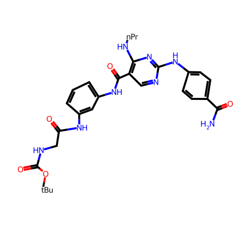 CCCNc1nc(Nc2ccc(C(N)=O)cc2)ncc1C(=O)Nc1cccc(NC(=O)CNC(=O)OC(C)(C)C)c1